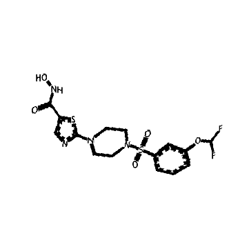 O=C(NO)c1cnc(N2CCN(S(=O)(=O)c3cccc(OC(F)F)c3)CC2)s1